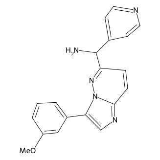 COc1cccc(-c2cnc3ccc(C(N)c4ccncc4)nn23)c1